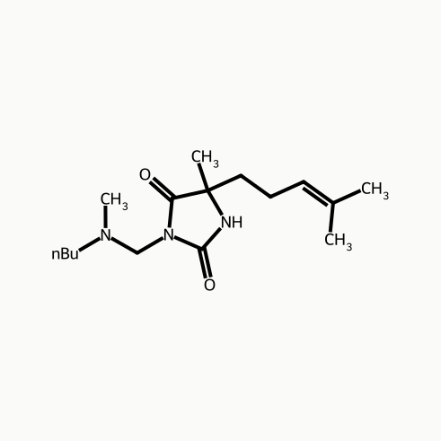 CCCCN(C)CN1C(=O)NC(C)(CCC=C(C)C)C1=O